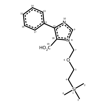 C[Si](C)(C)CCOCn1cnc(-c2ccccc2)c1C(=O)O